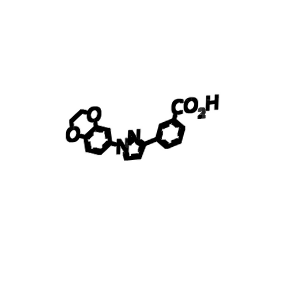 O=C(O)c1cccc(-c2ccn(-c3ccc4c(c3)OCCO4)n2)c1